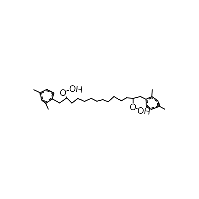 Cc1ccc(CC(CCCCCCCCCCC(Cc2ccc(C)cc2C)OO)OO)c(C)c1